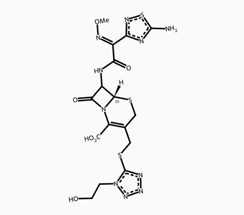 CON=C(C(=O)NC1C(=O)N2C(C(=O)O)=C(CSc3nnnn3CCO)CS[C@@H]12)c1nsc(N)n1